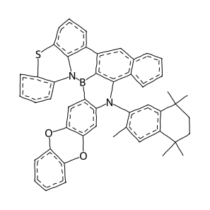 Cc1cc2c(cc1N1c3cc4c(cc3B3c5c(cc6ccccc6c51)-c1cccc5c1N3c1ccccc1S5)Oc1ccccc1O4)C(C)(C)CCC2(C)C